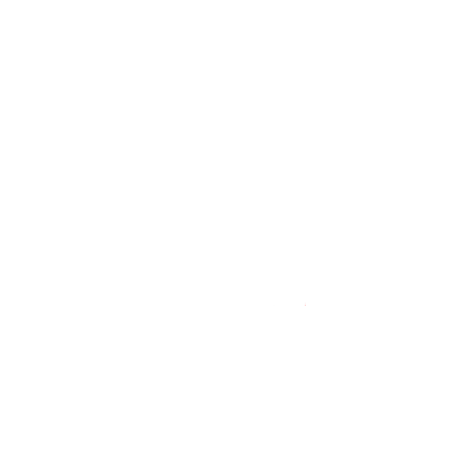 CCCCCCCCOc1ccc(C(=O)O)c(-c2ccc3c(ccc4ccccc43)c2)c1